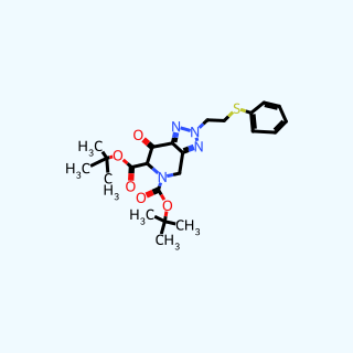 CC(C)(C)OC(=O)C1C(=O)c2nn(CCSc3ccccc3)nc2CN1C(=O)OC(C)(C)C